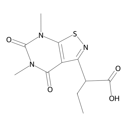 CCC(C(=O)O)c1nsc2c1c(=O)n(C)c(=O)n2C